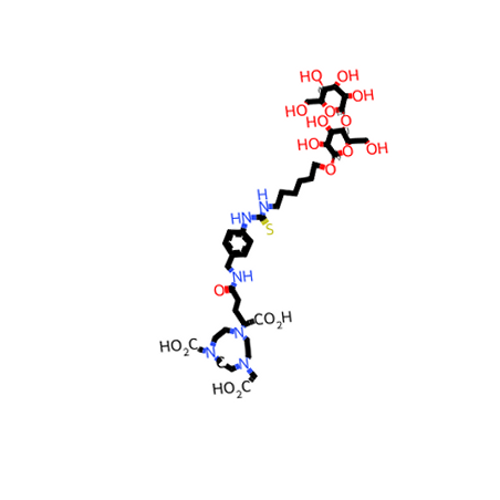 O=C(O)CN1CCN(CC(=O)O)CCN(C(CCC(=O)NCc2ccc(NC(=S)NCCCCCCO[C@@H]3OC(CO)[C@@H](O[C@@H]4OC(CO)[C@H](O)C(O)C4O)C(O)C3O)cc2)C(=O)O)CC1